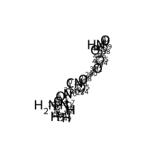 N#CC1CN(C(=O)[C@@H]2CC[C@@H]3C[C@H]4C[C@H]4C[C@H](N)C(=O)N32)CC1c1cccc(OCCCCOc2ccc(C3CCC(=O)NC3=O)cc2)c1